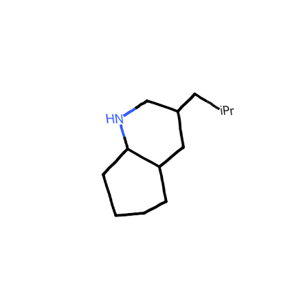 CC(C)CC1CNC2CCCCC2C1